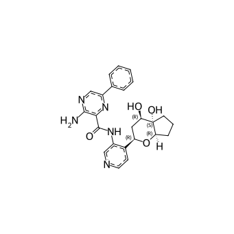 Nc1ncc(-c2ccccc2)nc1C(=O)Nc1cnccc1[C@H]1C[C@@H](O)[C@@]2(O)CCC[C@H]2O1